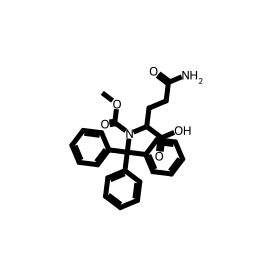 COC(=O)N(C(CCC(N)=O)C(=O)O)C(c1ccccc1)(c1ccccc1)c1ccccc1